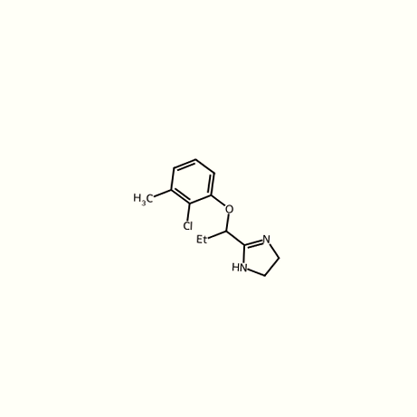 CCC(Oc1cccc(C)c1Cl)C1=NCCN1